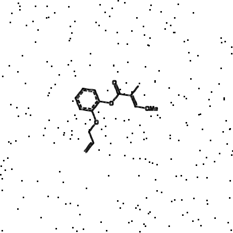 C=CCOc1ccccc1OC(=O)C(C)=COC